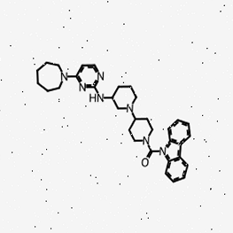 O=C(N1CCC(N2CCCC(Nc3nccc(N4CCCCCC4)n3)C2)CC1)n1c2ccccc2c2ccccc21